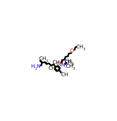 C#Cc1ccc(C(=C)C(=C)C/C=C/C(=C\C)CN)c(O/C(=C/C(=C)CCCCOCCC)N=C(C)C)c1